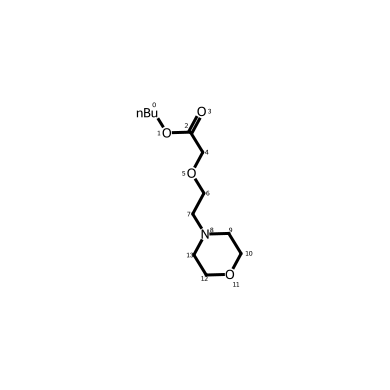 CCCCOC(=O)COCCN1CCOCC1